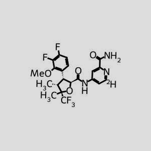 [2H]c1cc(NC(=O)[C@H]2O[C@@](C)(C(F)(F)F)[C@H](C)[C@@H]2c2ccc(F)c(F)c2OC)cc(C(N)=O)n1